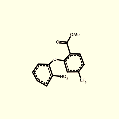 COC(=O)c1ccc(C(F)(F)F)cc1Oc1ccccc1[N+](=O)[O-]